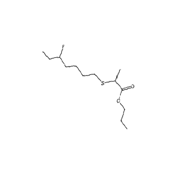 CCCOC(=O)C(C)SCCCCC(F)CC